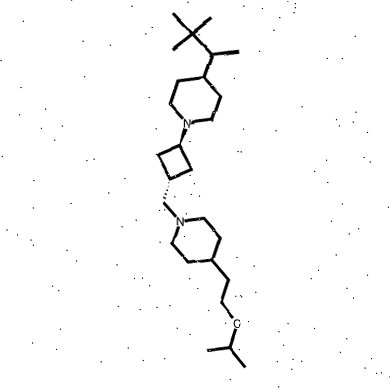 CC(C)OCCC1CCN(C[C@H]2C[C@H](N3CCC(C(C)C(C)(C)C)CC3)C2)CC1